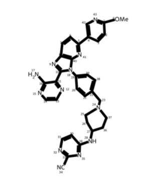 COc1ccc(-c2ccc3nc(-c4nccnc4N)n(-c4ccc(CN5CCC(Nc6ccnc(C#N)n6)CC5)cc4)c3n2)cn1